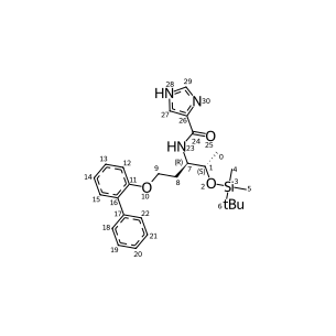 C[C@H](O[Si](C)(C)C(C)(C)C)[C@@H](CCOc1ccccc1-c1ccccc1)NC(=O)c1c[nH]cn1